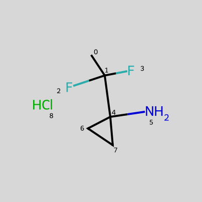 CC(F)(F)C1(N)CC1.Cl